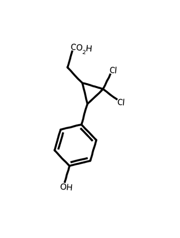 O=C(O)CC1C(c2ccc(O)cc2)C1(Cl)Cl